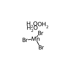 O.O.O.[Br][Mn]([Br])[Br]